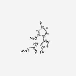 COCC(=O)Nc1c(C#N)cnn1-c1ccc(F)cc1OC